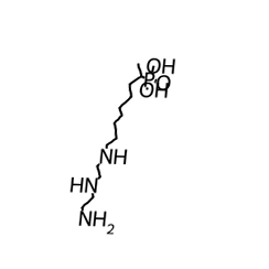 CC(CCCCCCCNCCNCCN)P(=O)(O)O